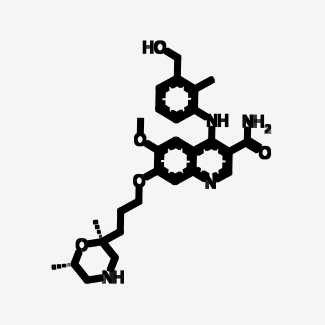 COc1cc2c(Nc3cccc(CO)c3C)c(C(N)=O)cnc2cc1OCCC[C@@]1(C)CNC[C@H](C)O1